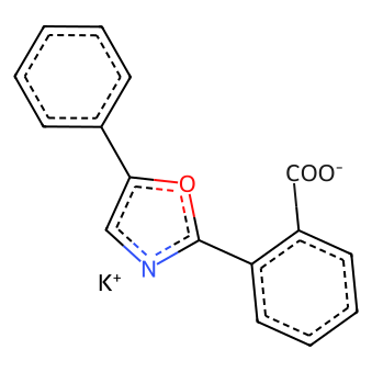 O=C([O-])c1ccccc1-c1ncc(-c2ccccc2)o1.[K+]